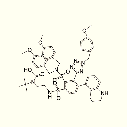 COc1ccc(CN(Cc2ccc(OC)cc2)S(=O)(=O)c2c(S(=O)(=O)NCCN(C(=O)O)C(C)(C)C)ccc(-c3cccc4c3CCCN4)c2-c2nnn(Cc3ccc(OC)cc3)n2)cc1